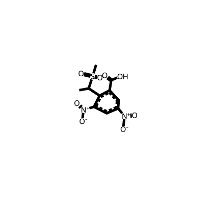 CC(c1c(C(=O)O)cc([N+](=O)[O-])cc1[N+](=O)[O-])S(C)(=O)=O